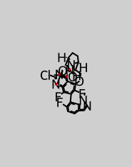 Cn1ncc2ccc(F)c(-c3c(F)c4c5c(nc(Cl)nc5c3F)N3C[C@H]5CC[C@@H]([C@H]3CO4)N5C(=O)OC(C)(C)C)c21